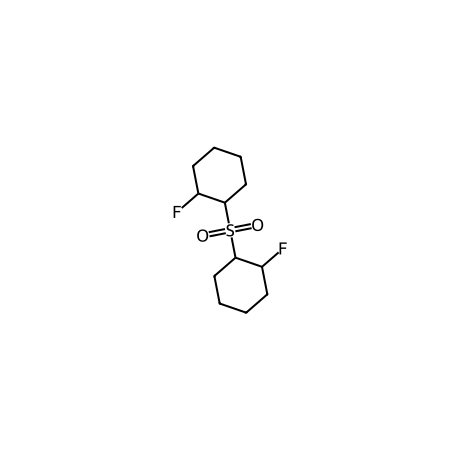 O=S(=O)(C1CCCCC1F)C1CCCCC1F